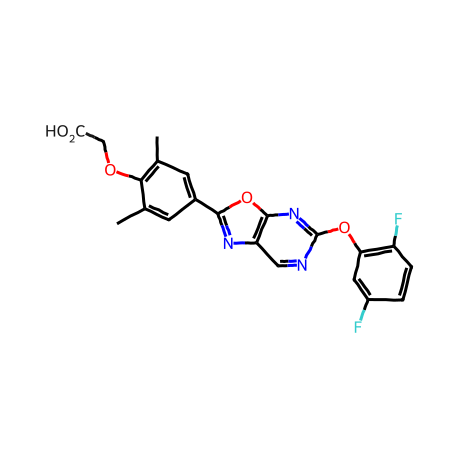 Cc1cc(-c2nc3cnc(Oc4cc(F)ccc4F)nc3o2)cc(C)c1OCC(=O)O